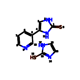 S=c1[nH]cc(-c2cccnc2)[nH]1.Sc1ncc[nH]1